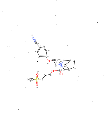 CN(C(=O)OCCCS(C)(=O)=O)C1C2CCC1CN(CCOc1ccc(C#N)cc1)C2